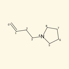 C=CCCN1CCCC1